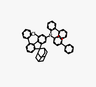 Clc1cc(N(c2ccc(-c3ccccc3)cc2)c2ccccc2-c2ccccc2)cc2c1-c1c(-c3ccccc3)cccc1C21C2CC3CC(C2)CC1C3